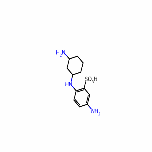 Nc1ccc(NC2CCCC(N)C2)c(S(=O)(=O)O)c1